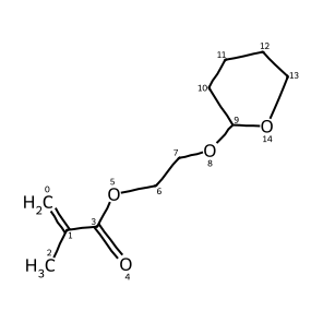 C=C(C)C(=O)OCCOC1CCCCO1